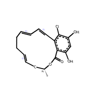 C[C@@H]1C/C=C/CC/C=C/C=C/c2c(Cl)c(O)cc(O)c2C(=O)O1